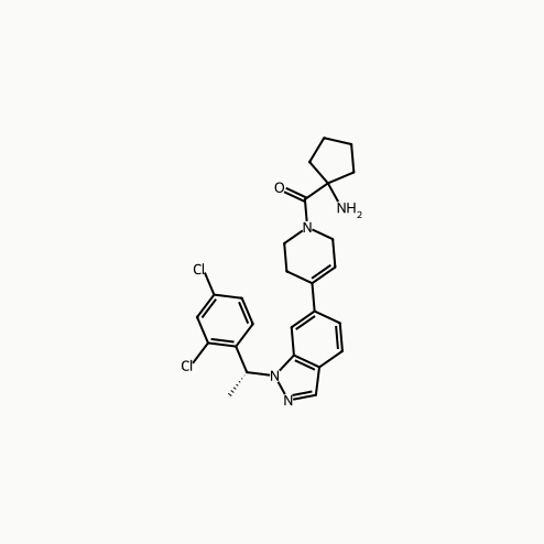 C[C@H](c1ccc(Cl)cc1Cl)n1ncc2ccc(C3=CCN(C(=O)C4(N)CCCC4)CC3)cc21